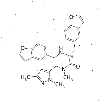 Cc1cc(CN(C)C(=O)[C@@H](Cc2ccc3occc3c2)NCc2ccc3occc3c2)n(C)n1